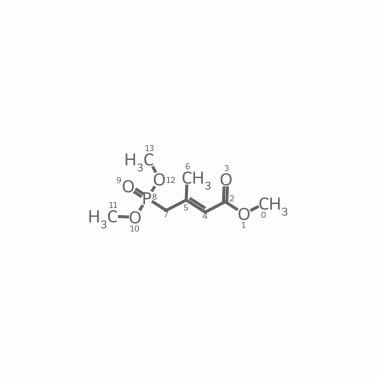 COC(=O)/C=C(\C)CP(=O)(OC)OC